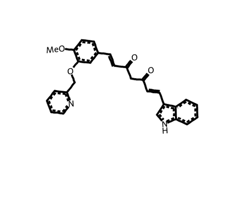 COc1ccc(C=CC(=O)CC(=O)C=Cc2c[nH]c3ccccc23)cc1OCc1ccccn1